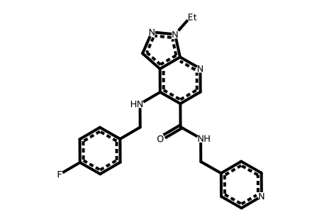 CCn1ncc2c(NCc3ccc(F)cc3)c(C(=O)NCc3ccncc3)cnc21